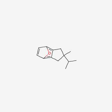 CC(C)C1(C)Cc2c(c3ccc2o3)C1